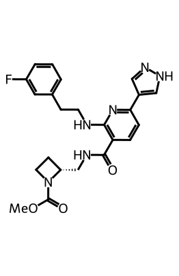 COC(=O)N1CC[C@@H]1CNC(=O)c1ccc(-c2cn[nH]c2)nc1NCCc1cccc(F)c1